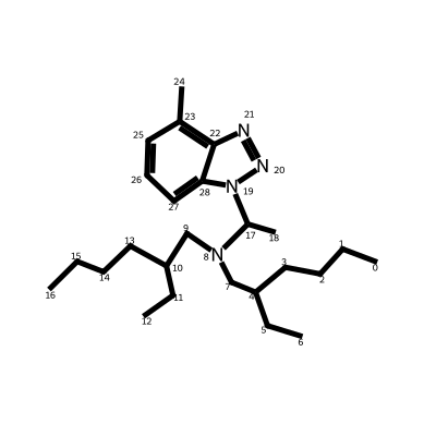 CCCCC(CC)CN(CC(CC)CCCC)C(C)n1nnc2c(C)cccc21